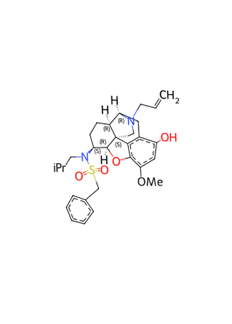 C=CCN1CC[C@]23c4c5c(O)cc(OC)c4O[C@H]2[C@@H](N(CC(C)C)S(=O)(=O)Cc2ccccc2)CC[C@H]3[C@H]1C5